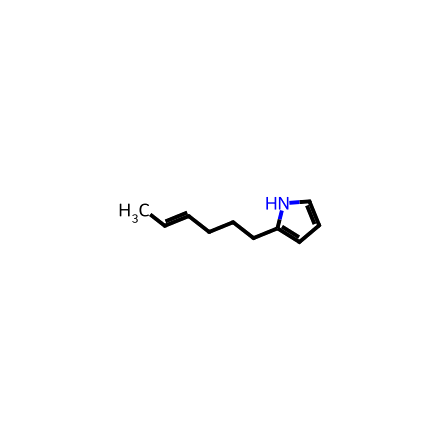 CC=CCCCc1ccc[nH]1